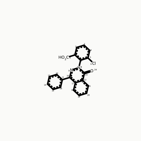 O=C(O)c1cccc(Cl)c1-n1nc(-c2ccccc2)c2ccccc2c1=O